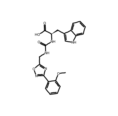 COc1ccccc1-c1noc(CNC(=O)N[C@H](Cc2c[nH]c3ccccc23)C(=O)O)n1